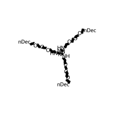 CCCCCCCCCCCCOCCOCCOCCCNc1nc(NCCCOCCOCCOCCCCCCCCCCCC)nc(NCCCOCCOCCOCCCCCCCCCCCC)n1